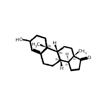 C[C@]12CCC(O)C=C1CC[C@@H]1[C@H]2CC[C@]2(C)C(=O)CC[C@@H]12